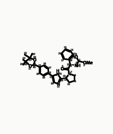 COC(O)N[C@H](C(=O)N1CCC[C@H]1c1ncc(-c2ccc(B3OC(C)(C)C(C)(C)O3)cc2)[nH]1)c1ccccc1